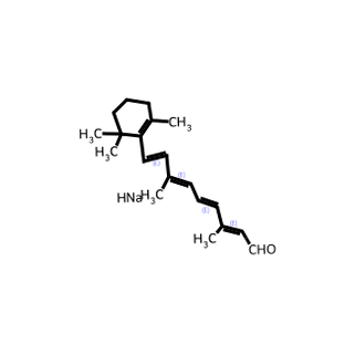 CC1=C(/C=C/C(C)=C/C=C/C(C)=C/C=O)C(C)(C)CCC1.[NaH]